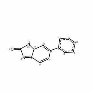 O=C1N=C2C=CC(c3c[c]ccc3)=CC2N1